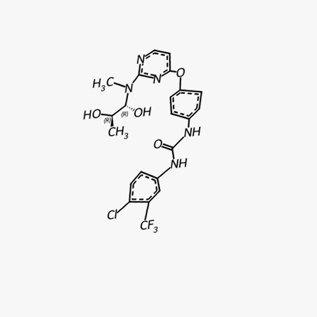 C[C@@H](O)[C@@H](O)N(C)c1nccc(Oc2ccc(NC(=O)Nc3ccc(Cl)c(C(F)(F)F)c3)cc2)n1